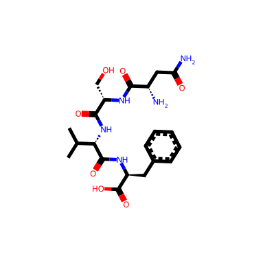 CC(C)[C@H](NC(=O)[C@H](CO)NC(=O)[C@@H](N)CC(N)=O)C(=O)N[C@@H](Cc1ccccc1)C(=O)O